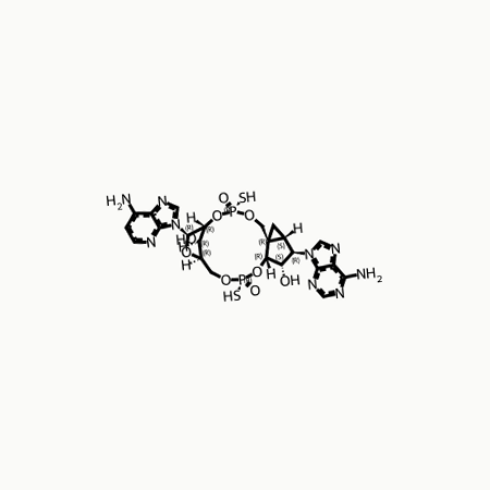 Nc1ncnc2c1ncn2[C@H]1[C@H](O)[C@@H]2O[P@](=O)(S)OC[C@H]3O[C@@H](n4cnc5c(N)ccnc54)[C@H](O[P@](=O)(S)OC[C@]24C[C@H]14)[C@@H]3O